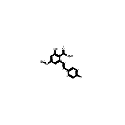 CCOc1cc(O)c(C(=O)OC)c(C=Cc2ccc(F)cc2)c1